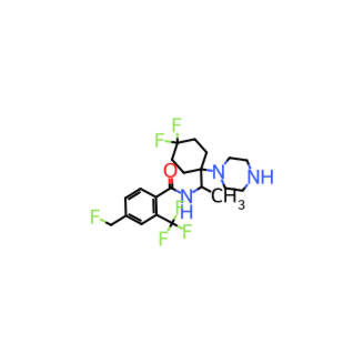 CC(NC(=O)c1ccc(CF)cc1C(F)(F)F)C1(N2CCNCC2)CCC(F)(F)CC1